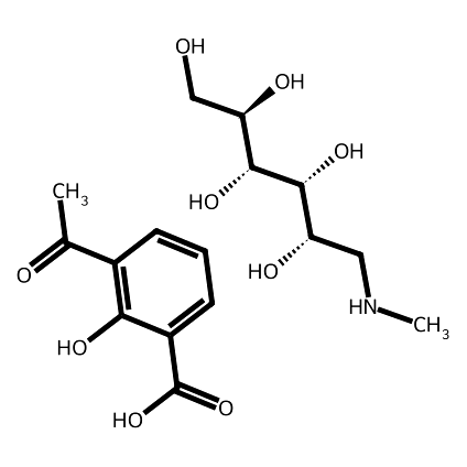 CC(=O)c1cccc(C(=O)O)c1O.CNC[C@H](O)[C@@H](O)[C@H](O)[C@H](O)CO